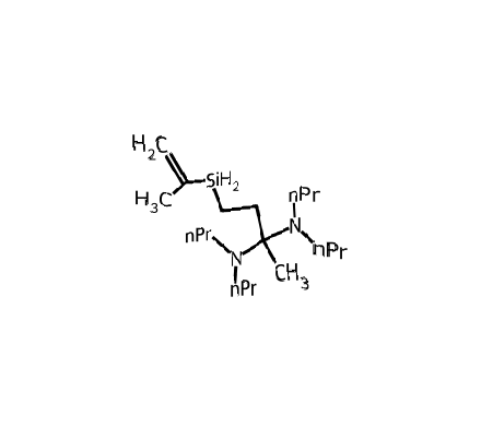 C=C(C)[SiH2]CCC(C)(N(CCC)CCC)N(CCC)CCC